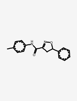 Cc1ccc(NC(=O)C2=NOC(c3ccccc3)C2)cc1